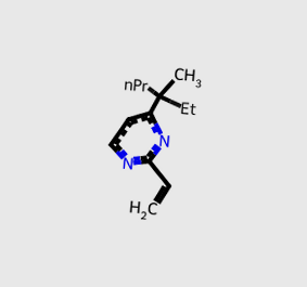 C=Cc1nccc(C(C)(CC)CCC)n1